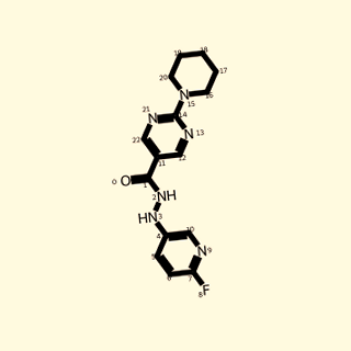 O=C(NNc1ccc(F)nc1)c1cnc(N2CCCCC2)nc1